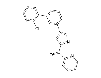 O=C(c1ccccn1)c1cn(-c2cccc(-c3cccnc3Cl)c2)cn1